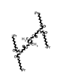 CC(C)CCCCCCCOC(=O)CCN(CCCC(=O)OCCN1CC(C)N(CCOC(=O)CCCN(CCC(=O)OCCCCCCCC(C)C)CCC(=O)OCCCCCCCC(C)C)CC1C)CCC(=O)OCCCCCCCC(C)C